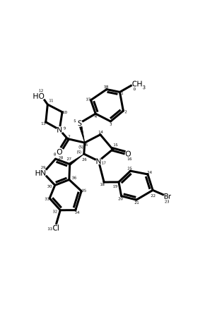 Cc1ccc(S[C@@]2(C(=O)N3CC(O)C3)CC(=O)N(Cc3ccc(Br)cc3)[C@H]2c2c[nH]c3cc(Cl)ccc23)cc1